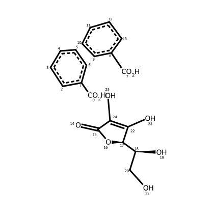 O=C(O)c1ccccc1.O=C(O)c1ccccc1.O=C1O[C@H]([C@@H](O)CO)C(O)=C1O